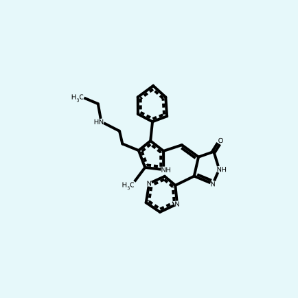 CCNCCc1c(C)[nH]c(/C=C2/C(=O)NN=C2c2cnccn2)c1-c1ccccc1